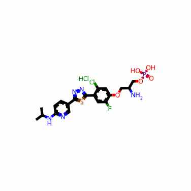 CC(C)Nc1ccc(-c2nnc(-c3cc(F)c(OCC(N)COP(=O)(O)O)cc3Cl)s2)cn1.Cl